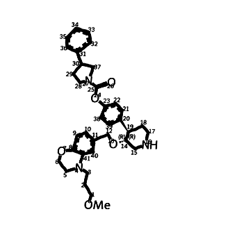 COCCCN1CCOc2ccc(CO[C@H]3CNCC[C@@H]3c3ccc(OC(=O)N4CCC(c5ccccc5)C4)cc3)cc21